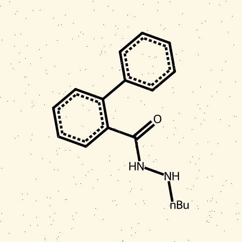 CCCCNNC(=O)c1ccccc1-c1ccccc1